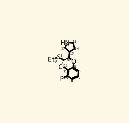 CCSC[C@H](Oc1cccc(F)c1Cl)C1CCNC1